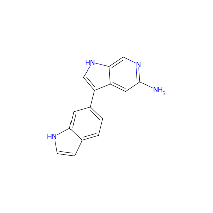 Nc1cc2c(-c3ccc4cc[nH]c4c3)c[nH]c2cn1